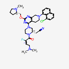 CN(C)C/C=C(/F)C(=O)N1CCN(c2nc(OC[C@@H]3CCCN3C)nc3c2CCN(c2cccc4cccc(Cl)c24)C3)C[C@@H]1CC#N